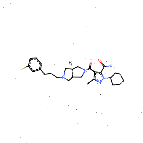 Cc1nn(C2CCCCC2)c(C(N)=O)c1C(=O)N1CC2CN(CC[CH]c3cccc(F)c3)C[C@H]2C1